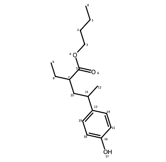 CCCCOC(=O)C(CC)CC(C)c1ccc(O)cc1